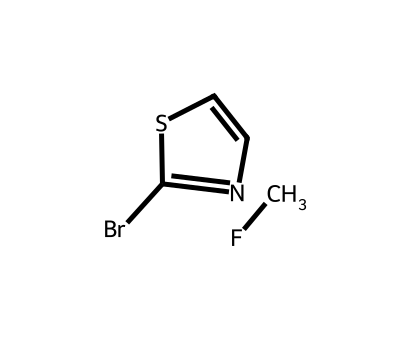 Brc1nccs1.CF